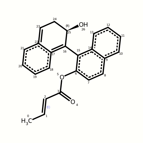 C/C=C/C(=O)Oc1ccc2ccccc2c1C1=c2ccccc2=CC[C@H]1O